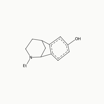 CCN1CCC2CC1c1ccc(O)cc12